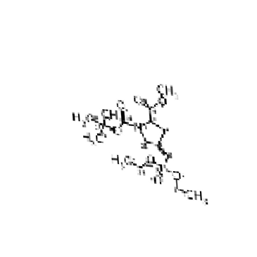 CCOP(=O)(C=C1CC(C(=O)OC)N(C(=O)OC(C)(C)C)C1)OCC